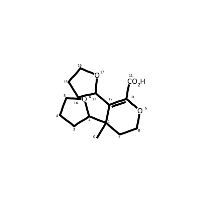 CC1(C2CCCO2)CCOC(C(=O)O)=C1C1CCCO1